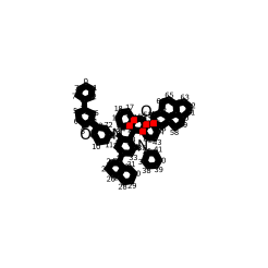 c1ccc(-c2ccc3oc4ccc(N(c5ccccc5)c5cc(-c6cccc7ccccc67)cc(N(c6ccccc6)c6ccccc6)c5-c5ccc6oc7c(cc8ccc9cccc%10ccc7c8c9%10)c6c5)cc4c3c2)cc1